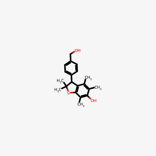 Cc1c(C)c2c(c(C)c1O)OC(C)(C)C2c1ccc(CO)cc1